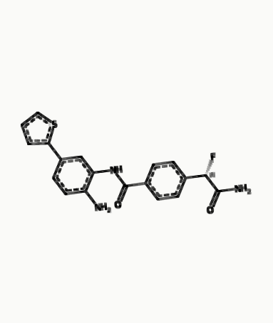 NC(=O)[C@@H](F)c1ccc(C(=O)Nc2cc(-c3cccs3)ccc2N)cc1